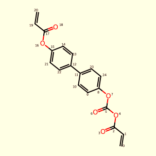 C=CC(=O)OC(=O)Oc1ccc(-c2ccc(OC(=O)C=C)cc2)cc1